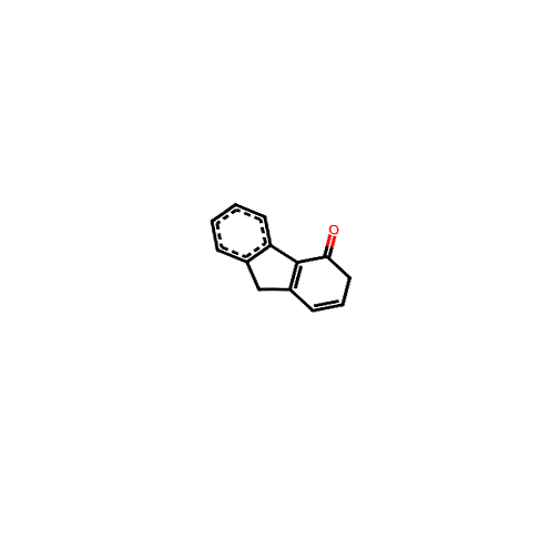 O=C1CC=CC2=C1c1ccccc1C2